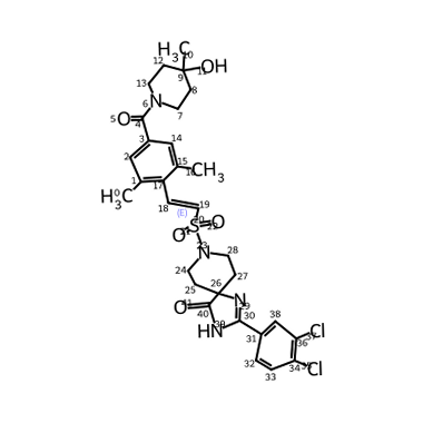 Cc1cc(C(=O)N2CCC(C)(O)CC2)cc(C)c1/C=C/S(=O)(=O)N1CCC2(CC1)N=C(c1ccc(Cl)c(Cl)c1)NC2=O